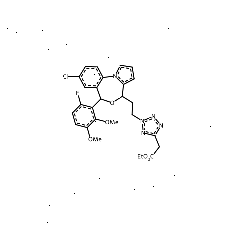 CCOC(=O)Cc1nnn(CCC2OC(c3c(F)ccc(OC)c3OC)c3cc(Cl)ccc3-n3cccc32)n1